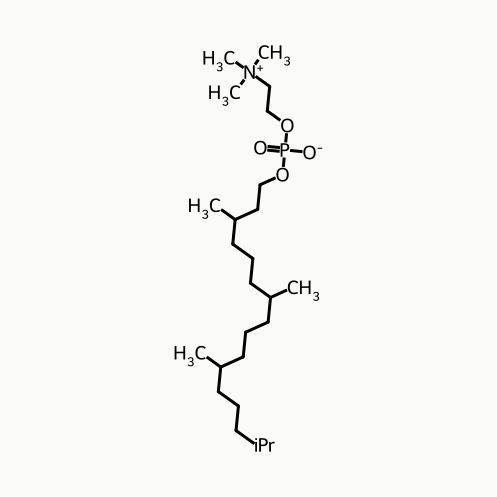 CC(C)CCCC(C)CCCC(C)CCCC(C)CCOP(=O)([O-])OCC[N+](C)(C)C